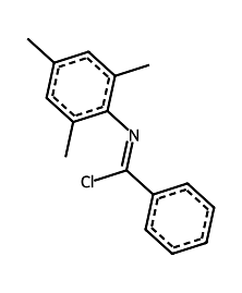 Cc1cc(C)c(/N=C(\Cl)c2ccccc2)c(C)c1